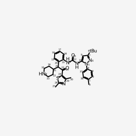 Cc1ccc(-n2nc(C(C)(C)C)cc2NC(=O)Nc2ccccc2C(C(=O)c2sc(C)nc2C)C2CCNCC2)cc1